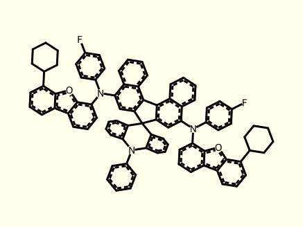 Fc1ccc(N(c2cc3c(c4ccccc24)-c2c(cc(N(c4ccc(F)cc4)c4cccc5c4oc4c(C6CCCCC6)cccc45)c4ccccc24)C32c3ccccc3N(c3ccccc3)c3ccccc32)c2cccc3c2oc2c(C4CCCCC4)cccc23)cc1